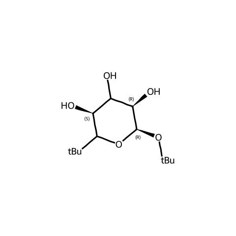 CC(C)(C)O[C@H]1OC(C(C)(C)C)[C@@H](O)C(O)[C@H]1O